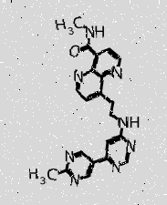 CNC(=O)c1ccnc2c(CCNc3cc(-c4cnc(C)nc4)ncn3)ccnc12